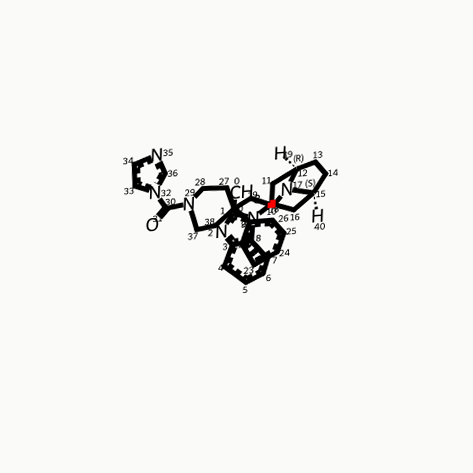 Cc1nc2ccccc2n1C1C[C@H]2CC[C@@H](C1)N2CCC1(c2ccccc2)CCN(C(=O)n2ccnc2)CC1